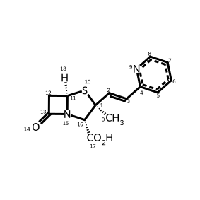 C[C@@]1(C=Cc2ccccn2)S[C@@H]2CC(=O)N2[C@H]1C(=O)O